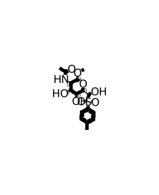 CO[C@H]1O[C@H](C(O)S(=O)(=O)c2ccc(C)cc2)[C@@H](O)[C@H](O)[C@@H]1NC(C)=O